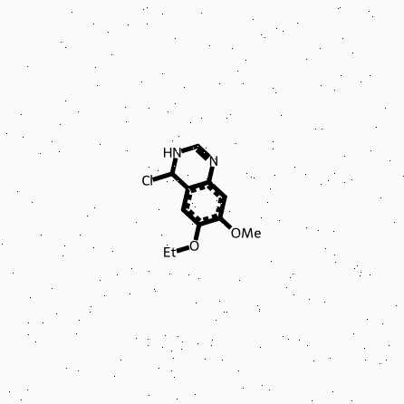 CCOc1cc2c(cc1OC)N=CNC2Cl